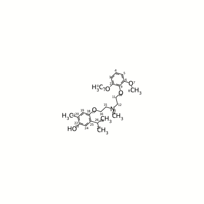 COc1cccc(OC)c1OCCN(C)CCOc1cc(C)c(O)cc1C(C)C